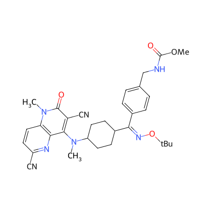 COC(=O)NCc1ccc(/C(=N\OC(C)(C)C)C2CCC(N(C)c3c(C#N)c(=O)n(C)c4ccc(C#N)nc34)CC2)cc1